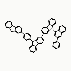 c1ccc(-c2cc(-n3c4ccccc4c4ccc(-c5ccc6c(c5)C(c5ccc(-c7ccc8c(c7)Cc7ccccc7-8)cc5)c5ccccc5-6)cc43)c3ccccc3c2)cc1